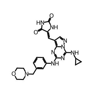 O=C1NC(=O)/C(=C/c2cnn3c(NC4CC4)nc(Nc4cccc(CN5CCOCC5)c4)nc23)N1